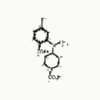 COc1ccc(F)cc1N(C)C1CCN(C(=O)O)CC1